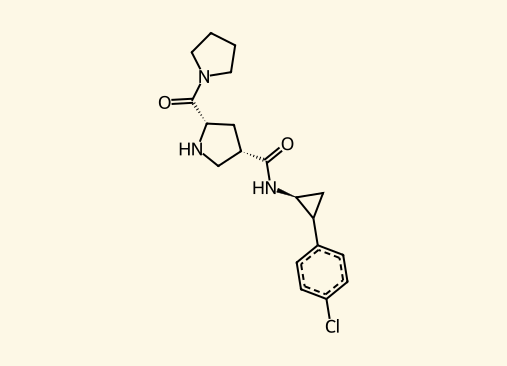 O=C(N[C@H]1CC1c1ccc(Cl)cc1)[C@@H]1CN[C@H](C(=O)N2CCCC2)C1